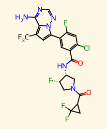 Nc1ncnn2c(-c3cc(C(=O)N[C@@H]4CN(C(=O)C5CC5(F)F)C[C@@H]4F)c(Cl)cc3F)cc(C(F)(F)F)c12